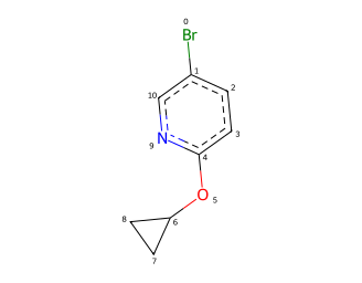 Brc1ccc(OC2CC2)nc1